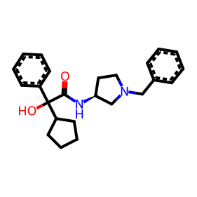 O=C(N[C@H]1CCN(Cc2ccccc2)C1)C(O)(c1ccccc1)C1CCCC1